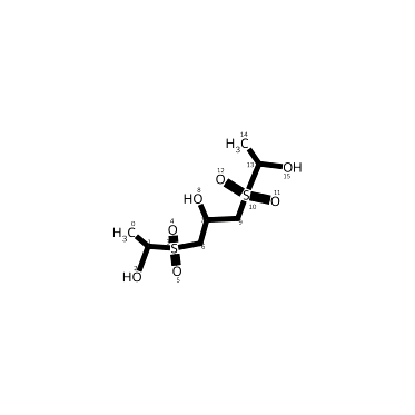 CC(O)S(=O)(=O)CC(O)CS(=O)(=O)C(C)O